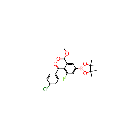 COC(=O)c1cc(B2OC(C)(C)C(C)(C)O2)cc(F)c1C(=O)c1ccc(Cl)cc1